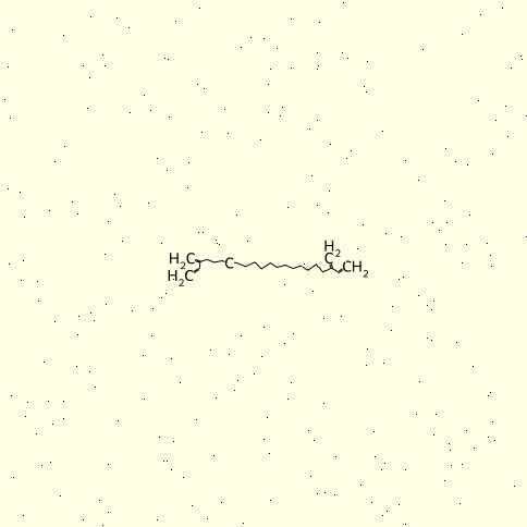 C=CC(=C)CCCCCCCCCCCCCCCCC(=C)C=C